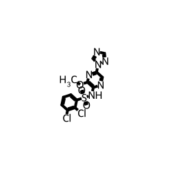 COc1nc(-n2cncn2)cnc1NS(=O)(=O)c1cccc(Cl)c1Cl